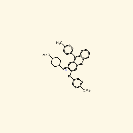 COc1ccc(Nc2cc3nc4ccccc4n(-c4ccc(C)cc4)c-3c/c2=N\C2CCC(OC)CC2)cn1